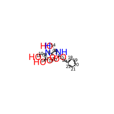 O=C(N[C@@H](CO)C(=O)N[C@@H](CO)C(=O)O)OCc1ccccc1